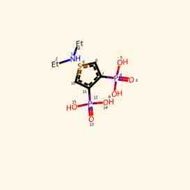 CCNCC.O=P(O)(O)c1cscc1P(=O)(O)O